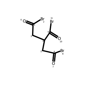 O=C(Br)CC(CC(=O)Br)C(=O)Br